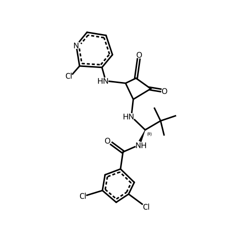 CC(C)(C)[C@@H](NC(=O)c1cc(Cl)cc(Cl)c1)NC1C(=O)C(=O)C1Nc1cccnc1Cl